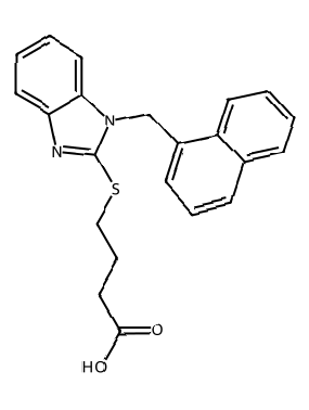 O=C(O)CCCSc1nc2ccccc2n1Cc1cccc2ccccc12